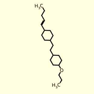 CCCC=CC1CCC(CCC2CCC(OCCC)CC2)CC1